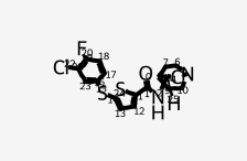 O=C(N[C@H]1CN2CCC1CC2)c1ccc(Sc2ccc(F)c(Cl)c2)s1